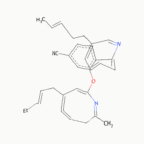 C/C=C/CCC1=C/C=C/C=C(c2ccc(C#N)cc2OC2=C/C(C/C=C/CC)=C=CC/C(C)=N\2)/N=C\1